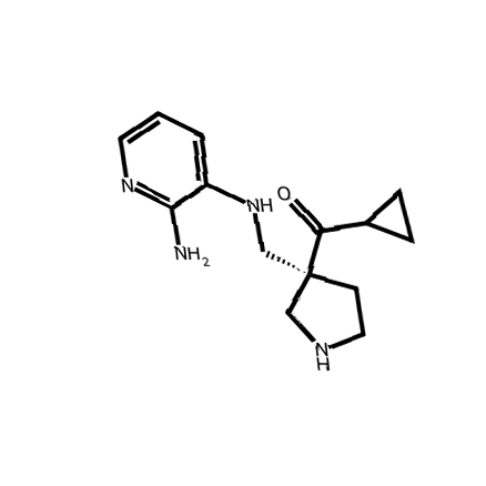 Nc1ncccc1NC[C@]1(C(=O)C2CC2)CCNC1